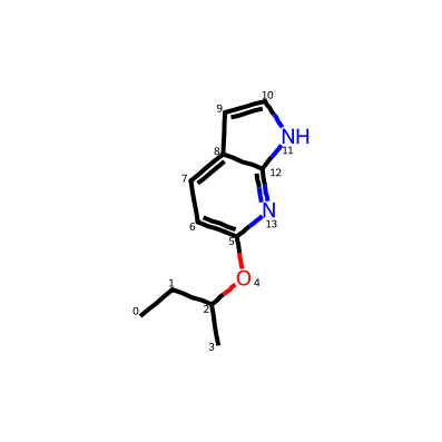 CCC(C)Oc1ccc2cc[nH]c2n1